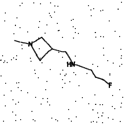 CN1CC(CNCCF)C1